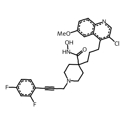 COc1ccc2ncc(Cl)c(CCCC3(C(=O)NO)CCN(CC#Cc4ccc(F)cc4F)CC3)c2c1